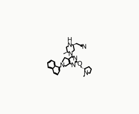 C[C@H]1CN[C@@H](CC#N)CN1c1nc(OC[C@@H]2CCCN2C)nc2c1CCN(c1cccc3ccccc13)C2